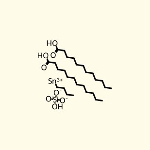 CCCCCCCCCCCC(=O)O.CCCCCCCCCCCC(=O)O.CCC[CH2][Sn+3].[O-][Si]([O-])([O-])O